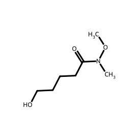 CON(C)C(=O)CCCCO